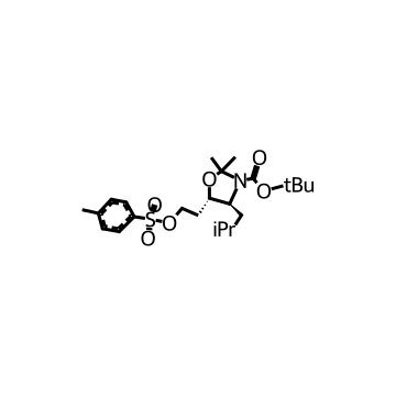 Cc1ccc(S(=O)(=O)OCC[C@@H]2OC(C)(C)N(C(=O)OC(C)(C)C)[C@H]2CC(C)C)cc1